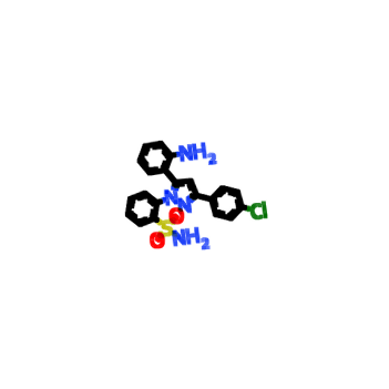 Nc1ccccc1-c1cc(-c2ccc(Cl)cc2)nn1-c1ccccc1S(N)(=O)=O